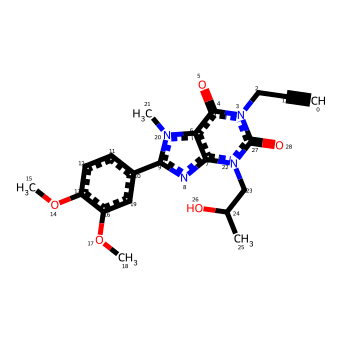 C#CCn1c(=O)c2c(nc(-c3ccc(OC)c(OC)c3)n2C)n(CC(C)O)c1=O